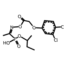 CCC(C)OP(=O)(O)C(C)=NOC(=O)COc1ccc(Cl)c(Cl)c1